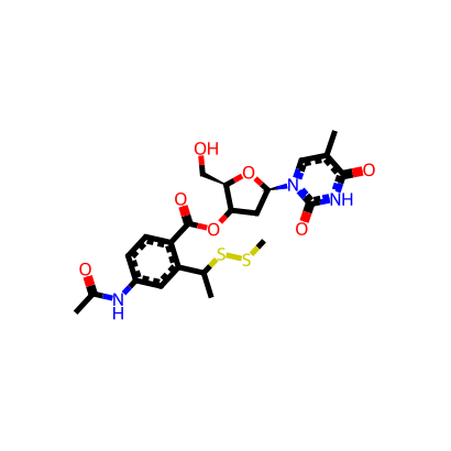 CSSC(C)c1cc(NC(C)=O)ccc1C(=O)OC1C[C@H](n2cc(C)c(=O)[nH]c2=O)O[C@@H]1CO